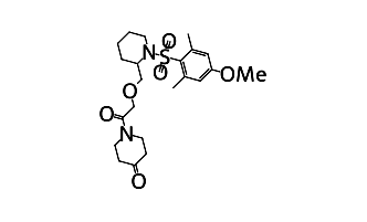 COc1cc(C)c(S(=O)(=O)N2CCCCC2COCC(=O)N2CCC(=O)CC2)c(C)c1